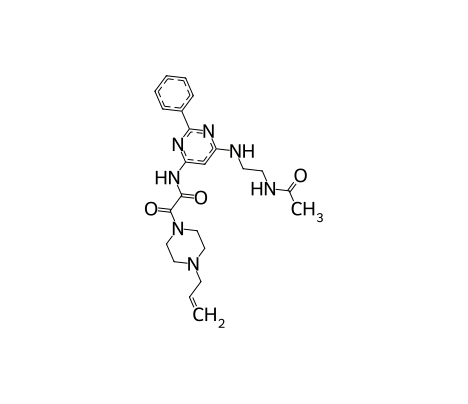 C=CCN1CCN(C(=O)C(=O)Nc2cc(NCCNC(C)=O)nc(-c3ccccc3)n2)CC1